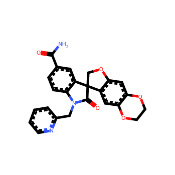 NC(=O)c1ccc2c(c1)C1(COc3cc4c(cc31)OCCO4)C(=O)N2Cc1ccccn1